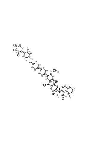 CCc1cc(Nc2ncc(Br)c(Nc3ccc4nccnc4c3P(C)(C)=O)n2)c(OC)cc1N1CCC(N2CCN(CCc3cc(F)c(C4CCC(=O)NC4=O)cc3F)CC2)CC1